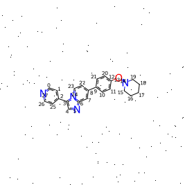 c1cc(-c2cnc3cc(-c4ccc(ON5CCCCC5)cc4)ccn23)ccn1